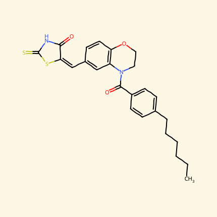 CCCCCCc1ccc(C(=O)N2CCOc3ccc(C=C4SC(=S)NC4=O)cc32)cc1